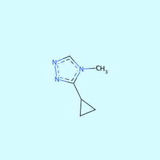 Cn1cnnc1C1CC1